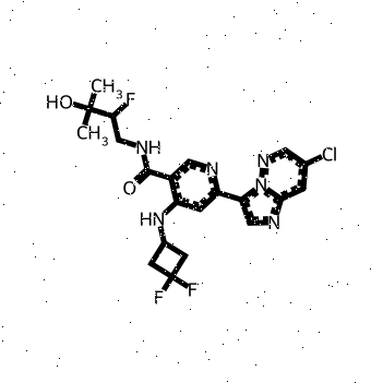 CC(C)(O)C(F)CNC(=O)c1cnc(-c2cnc3cc(Cl)cnn23)cc1NC1CC(F)(F)C1